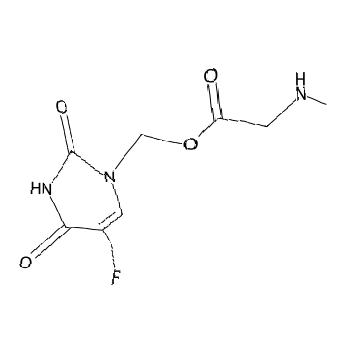 CNCC(=O)OCn1cc(F)c(=O)[nH]c1=O